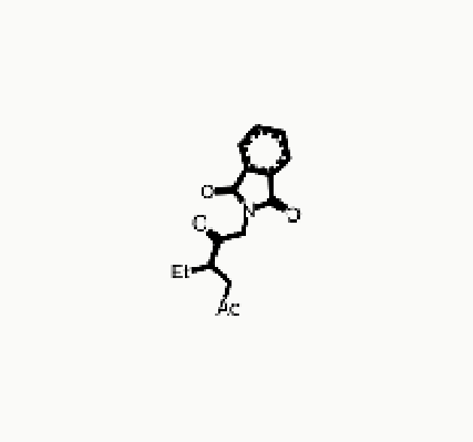 CCC(CC(C)=O)C(=O)CN1C(=O)c2ccccc2C1=O